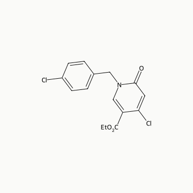 CCOC(=O)c1cn(Cc2ccc(Cl)cc2)c(=O)cc1Cl